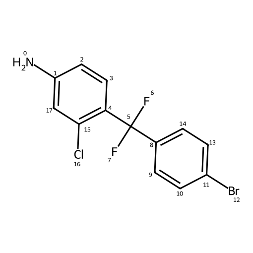 Nc1ccc(C(F)(F)c2ccc(Br)cc2)c(Cl)c1